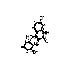 O=c1[nH]c2cc(Cl)ccc2c(O)c1Sc1ccccc1Br